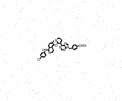 COc1ccc(Cn2cnc3c(-c4cccnc4Oc4c(C)ccc5c(Nc6ccc(Cl)cc6)nccc45)ncnc32)cc1